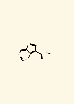 O=C(NO)c1cnc2cnc[nH]c1-2